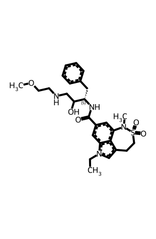 CCn1cc2c3c(cc(C(=O)N[C@@H](Cc4ccccc4)C(O)CNCCOC)cc31)N(C)S(=O)(=O)CC2